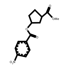 COC(=O)C1CCC(OC(=O)c2ccc([N+](=O)[O-])cc2)C1